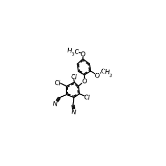 COc1ccc(Oc2c(Cl)c(Cl)c(C#N)c(C#N)c2Cl)c(OC)c1